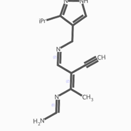 C#CC(/C=N\Cc1c[nH]nc1C(C)C)=C(C)/N=C/N